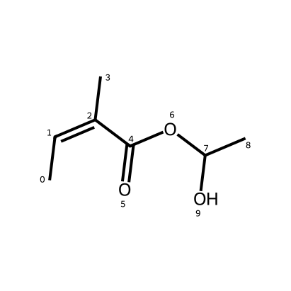 CC=C(C)C(=O)OC(C)O